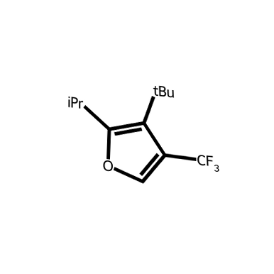 CC(C)c1occ(C(F)(F)F)c1C(C)(C)C